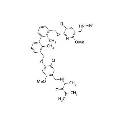 COc1nc(OCc2cccc(-c3cccc(COc4nc(OC)c(CNC(C)C(=O)N(C)C)cc4Cl)c3C)c2C)c(Cl)cc1CNC(C)C